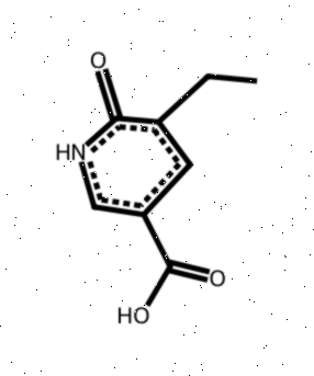 CCc1cc(C(=O)O)c[nH]c1=O